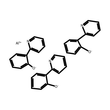 [Al+3].[O-]c1ccccc1-c1ccccn1.[O-]c1ccccc1-c1ccccn1.[O-]c1ccccc1-c1ccccn1